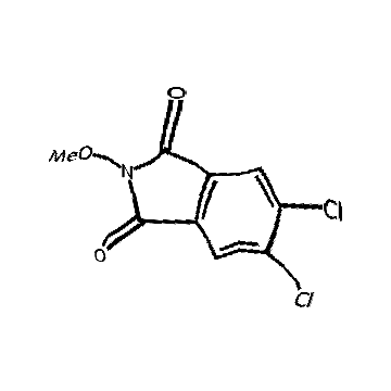 CON1C(=O)c2cc(Cl)c(Cl)cc2C1=O